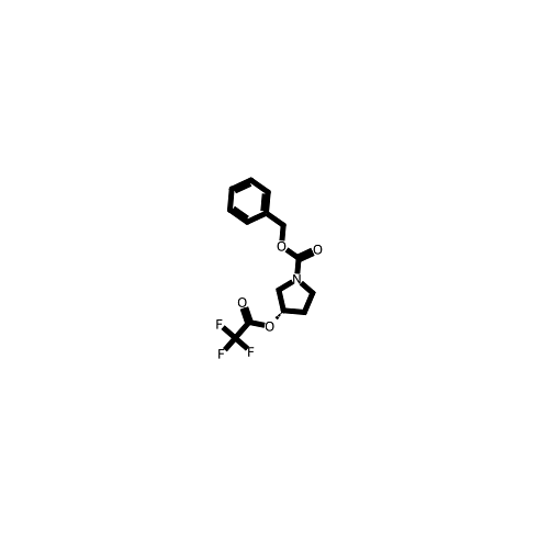 O=C(OCc1ccccc1)N1CC[C@H](OC(=O)C(F)(F)F)C1